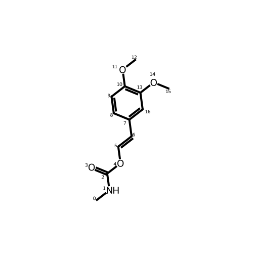 CNC(=O)OC=Cc1ccc(OC)c(OC)c1